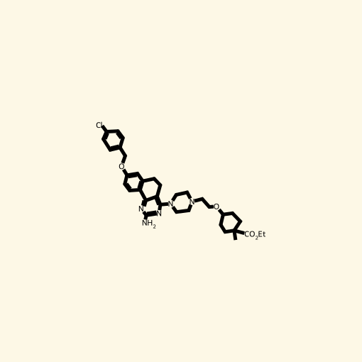 CCOC(=O)C1(C)CCC(OCCN2CCN(c3nc(N)nc4c3CCc3cc(OCc5ccc(Cl)cc5)ccc3-4)CC2)CC1